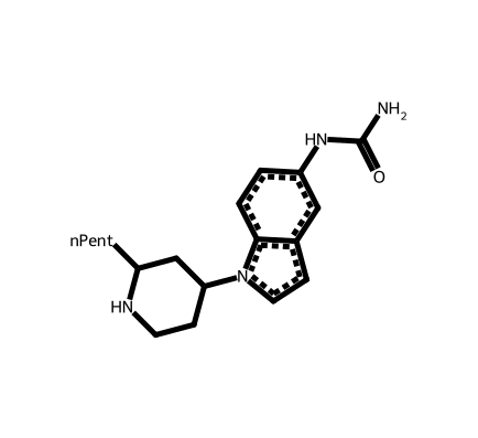 CCCCCC1CC(n2ccc3cc(NC(N)=O)ccc32)CCN1